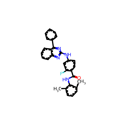 Cc1cccc(C)c1NC(=O)c1ccc(Nc2nc(-c3ccccc3)c3ccccc3n2)cc1F